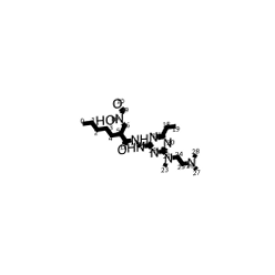 CCCCCC(CN(O)C=O)C(=O)NNc1nc(CC)nc(N(C)CCN(C)C)n1